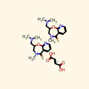 CN(C)CC1CN(C)C(=S)c2cccnc2O1.CN(C)CC1CN(C)C(=S)c2cccnc2O1.O=C(O)/C=C/C(=O)O